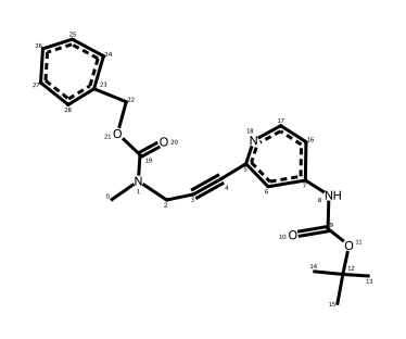 CN(CC#Cc1cc(NC(=O)OC(C)(C)C)ccn1)C(=O)OCc1ccccc1